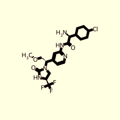 COC[C@H](c1ccnc(NC(=O)[C@@H](N)C2CCC(Cl)CC2)c1)N1C[C@@H](C(F)(F)F)NC1=O